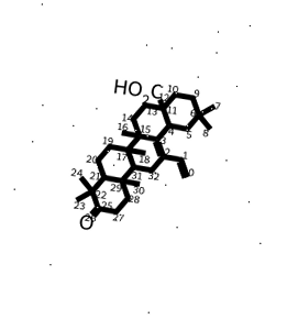 C=CC1=C2C3CC(C)(C)CCC3(C(=O)O)CCC2(C)C2(C)CCC3C(C)(C)C(=O)CCC3(C)C2C1